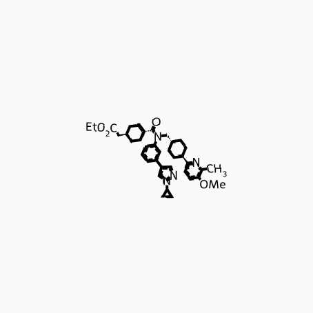 CCOC(=O)C[C@H]1CC[C@H](C(=O)N(C[C@H]2CC[C@H](c3ccc(OC)c(C)n3)CC2)c2cccc(-c3cnn(C4CC4)c3)c2)CC1